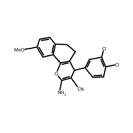 COc1ccc2c(c1)C1=C(CC2)C(c2ccc(Cl)c(Cl)c2)C(C#N)=C(N)O1